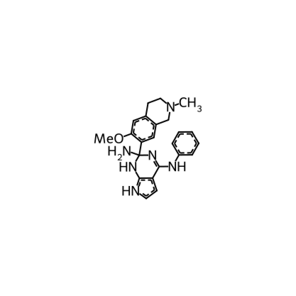 COc1cc2c(cc1C1(N)N=C(Nc3ccccc3)c3cc[nH]c3N1)CN(C)CC2